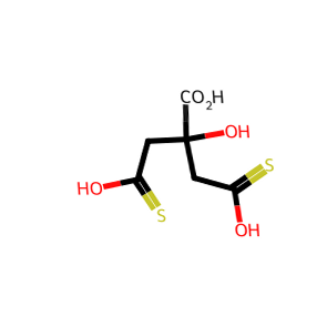 O=C(O)C(O)(CC(O)=S)CC(O)=S